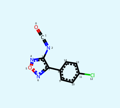 O=C=Nc1nonc1-c1ccc(Cl)cc1